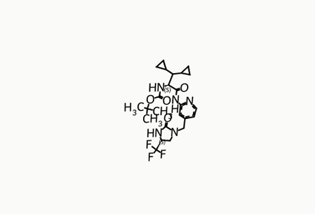 CC(C)(C)OC(=O)N[C@H](C(=O)Nc1cc(CN2C[C@@H](C(F)(F)F)NC2=O)ccn1)C(C1CC1)C1CC1